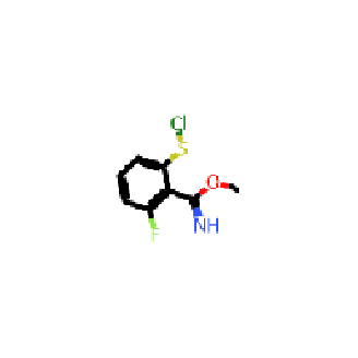 COC(=N)c1c(F)cccc1SCl